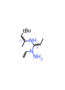 C=CN(N)/C(=C/C)N/C(C)=C\C(C)(C)C